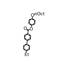 CCCCCCCCOc1ccc(OC(=O)c2ccc(-c3ccc(CC)cc3)cc2)cc1